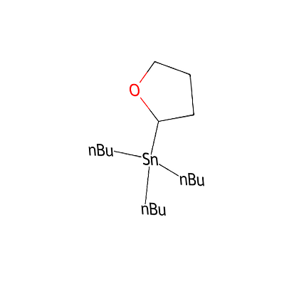 CCC[CH2][Sn]([CH2]CCC)([CH2]CCC)[CH]1CCCO1